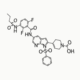 CCCS(=O)(=O)Nc1ccc(F)c(C(=O)Nc2cnc3c(c2)cc(C2=CCN(C(=O)O)CC2)n3S(=O)(=O)c2ccccc2)c1F